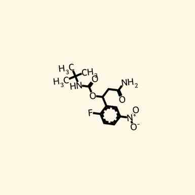 CC(C)(C)NC(=O)OC(CC(N)=O)c1cc([N+](=O)[O-])ccc1F